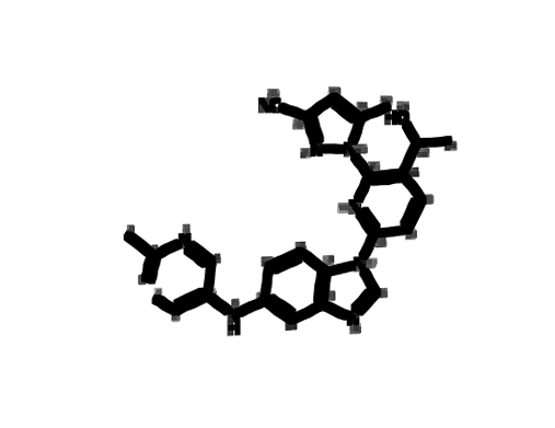 C=C(C)/N=C\C(=C/C)Nc1ccc2c(c1)ncn2-c1ccc(C(C)O)c(-n2nc(C#N)cc2C)n1